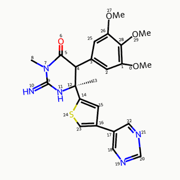 COc1cc(C2C(=O)N(C)C(=N)N[C@]2(C)c2cc(-c3cncnc3)cs2)cc(OC)c1OC